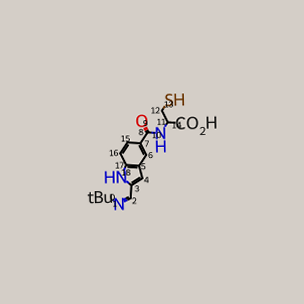 CC(C)(C)/N=C\c1cc2cc(C(=O)NC(CS)C(=O)O)ccc2[nH]1